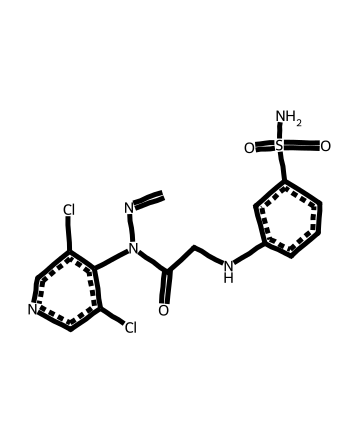 C=NN(C(=O)CNc1cccc(S(N)(=O)=O)c1)c1c(Cl)cncc1Cl